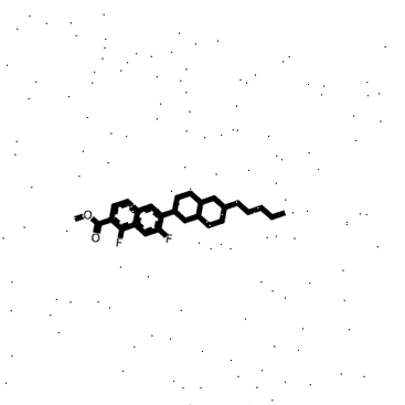 CCCCCC1CCC2CC(c3cc4ccc(C(=O)OC)c(F)c4cc3F)CCC2C1